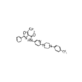 O=C(Nc1ccc(N2CCN(c3ccc(C(F)(F)F)cc3)CC2)nc1)c1nc(-c2ccccc2)oc1C(F)(F)F